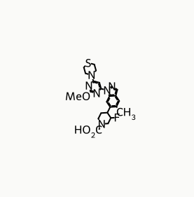 COc1nc(N2CCSCC2)cc(-n2ncc3cc(C)c(C4CCN(C(=O)O)CC4F)cc32)n1